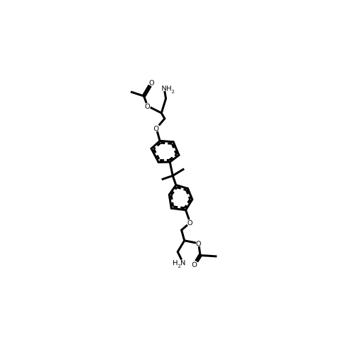 CC(=O)OC(CN)COc1ccc(C(C)(C)c2ccc(OCC(CN)OC(C)=O)cc2)cc1